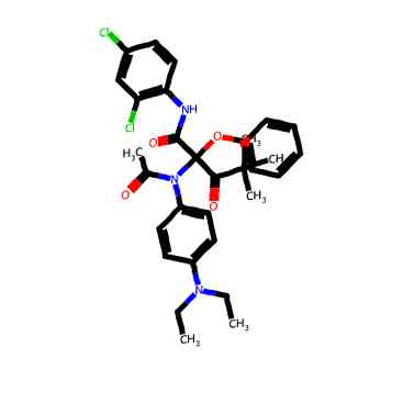 CCN(CC)c1ccc(N(C(C)=O)C(Oc2ccccc2)(C(=O)Nc2ccc(Cl)cc2Cl)C(=O)C(C)(C)C)cc1